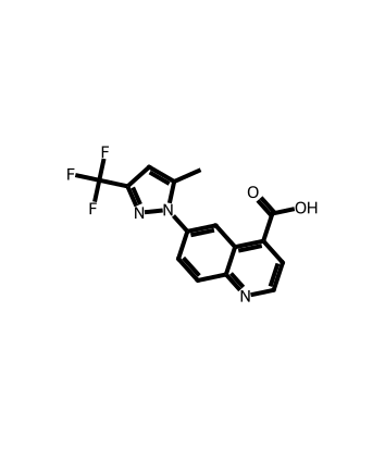 Cc1cc(C(F)(F)F)nn1-c1ccc2nccc(C(=O)O)c2c1